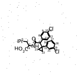 CC(C)CC(NC(=O)C(c1ccc(Cl)cc1)C1(c2cccc(Cl)c2)CC1)C(=O)O